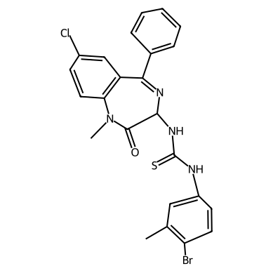 Cc1cc(NC(=S)NC2N=C(c3ccccc3)c3cc(Cl)ccc3N(C)C2=O)ccc1Br